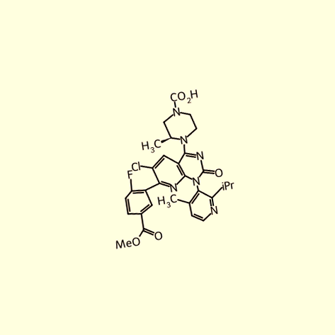 COC(=O)c1ccc(F)c(-c2nc3c(cc2Cl)c(N2CCN(C(=O)O)C[C@@H]2C)nc(=O)n3-c2c(C)ccnc2C(C)C)c1